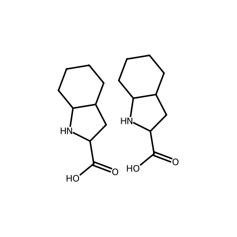 O=C(O)C1CC2CCCCC2N1.O=C(O)C1CC2CCCCC2N1